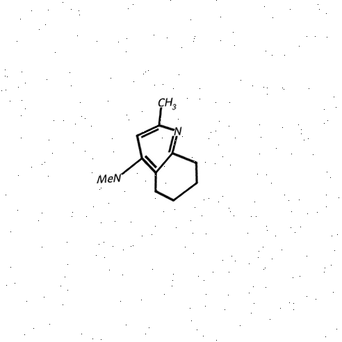 CNc1cc(C)nc2c1CCCC2